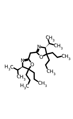 CCCC1(CCC)OC(CC2=N[C@H](C(C)C)C(CCC)(CCC)O2)=N[C@@H]1C(C)C